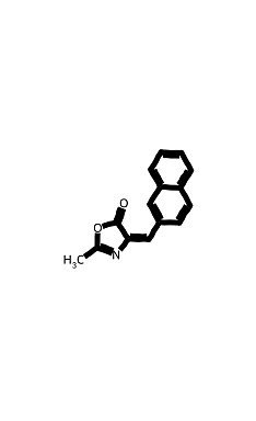 CC1=NC(=Cc2ccc3ccccc3c2)C(=O)O1